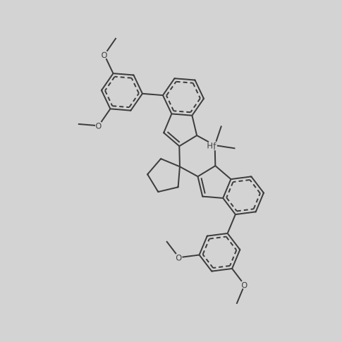 COc1cc(OC)cc(-c2cccc3c2C=C2[CH]3[Hf]([CH3])([CH3])[CH]3C(=Cc4c(-c5cc(OC)cc(OC)c5)cccc43)C23CCCC3)c1